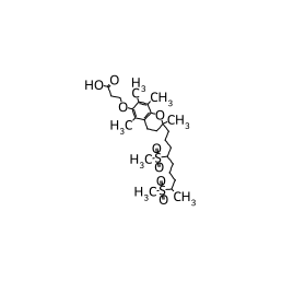 Cc1c(C)c2c(c(C)c1OCCC(=O)O)CCC(C)(CCCC(CCCC(C)S(C)(=O)=O)S(C)(=O)=O)O2